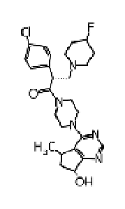 CC1C[C@@H](O)c2ncnc(N3CCN(C(=O)[C@@H](CN4CCC(F)CC4)c4ccc(Cl)cc4)CC3)c21